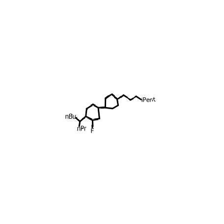 CCCCC(CCC)C1CCC(C2CCC(CCCC(C)CCC)CC2)CC1F